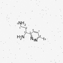 NCCC(N)c1ccc(I)nn1